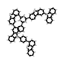 c1ccc(-c2nc(-c3ccc4c(c3)oc3ccc(-n5c6ccccc6c6ccccc65)cc34)nc(-c3cccc4oc5ccc(-c6ccc7c(c6)c6ccccc6n7-c6ccc(-c7cccc8c7oc7ccccc78)cc6)cc5c34)n2)cc1